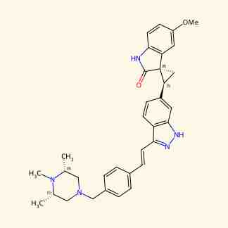 COc1ccc2c(c1)[C@]1(C[C@H]1c1ccc3c(C=Cc4ccc(CN5C[C@@H](C)N(C)[C@@H](C)C5)cc4)n[nH]c3c1)C(=O)N2